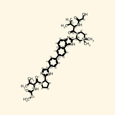 COC(=O)NC(C(=O)N1CCCC1c1ncc(-c2ccc(-c3ccc4c(ccc5nc([C@@H]6C[Si](C)(C)CCN6C(=O)C(NC(=O)CO)C(C)C)[nH]c54)c3)cc2)[nH]1)C(C)C